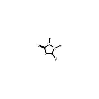 CN1C(=O)CC(Cl)[S+]1[O-]